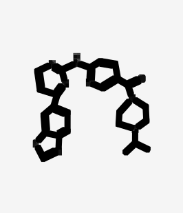 CC(C)N1CCN(C(=O)c2ccc(Nc3nccc(-c4ccc5ncsc5c4)n3)nc2)CC1